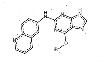 CC(C)Oc1nc(Nc2ccc3ncccc3c2)nc2[nH]cnc12